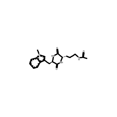 CC(=O)NCCC[C@@H]1NC(=O)[C@@H](Cc2cn(C)c3ccccc23)NC1=O